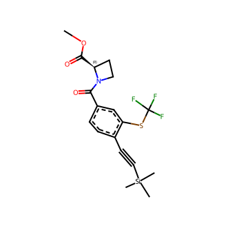 COC(=O)[C@H]1CCN1C(=O)c1ccc(C#C[Si](C)(C)C)c(SC(F)(F)F)c1